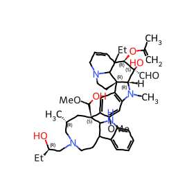 C=C(C)O[C@@H]1C2(CC)C=CCN3CC[C@@]4(c5cc([C@@]6(C(O)OC)C[C@@H](C)CN(C[C@H](O)CC)CCC7c8ccccc8NC76)c(OC)cc5N(C)[C@H]4[C@@]1(O)C=O)C32